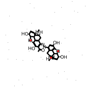 CC(=O)c1c(O)c2c3c(c1N=Nc1cc(O)c4c5c1C[C@@H]1[C@@H]6C=C[C@H](O)[C@H](O4)[C@]56CCN1C)C[C@@H]1[C@@H]4C=C[C@H](O)[C@H](O2)[C@]34CCN1C